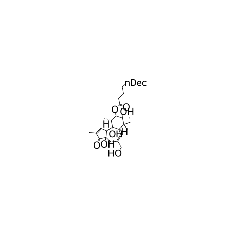 CCCCCCCCCCCCCC(=O)O[C@@H]1[C@@H](C)[C@@]2(O)[C@@H](C=C(CO)C[C@]3(O)C(=O)C(C)=C[C@@H]23)C(C)(C)[C@]1(C)O